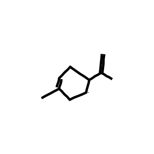 C=C(C)C1[CH]CC(C)=CC1